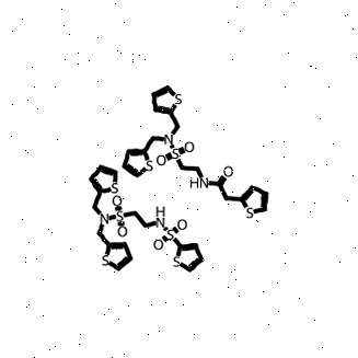 O=C(Cc1cccs1)NCCS(=O)(=O)N(Cc1cccs1)Cc1cccs1.O=S(=O)(NCCS(=O)(=O)N(Cc1cccs1)Cc1cccs1)c1cccs1